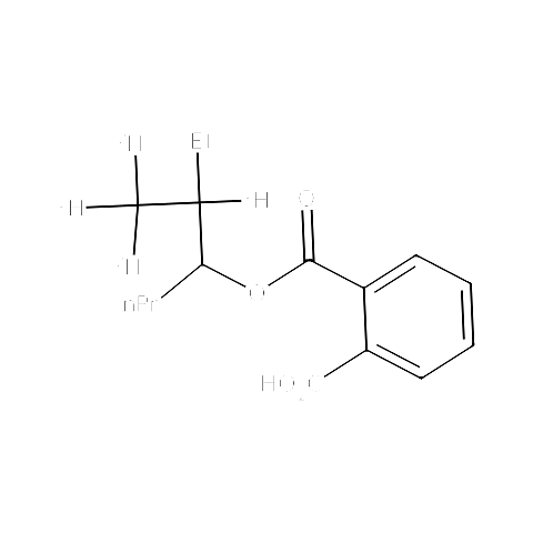 [2H]C([2H])([2H])C([2H])(CC)C(CCC)OC(=O)c1ccccc1C(=O)O